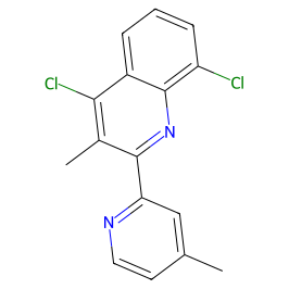 Cc1ccnc(-c2nc3c(Cl)cccc3c(Cl)c2C)c1